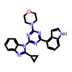 c1ccc2c(c1)nc(C1CC1)n2-c1nc(-c2cccc3[nH]ccc23)nc(N2CCOCC2)n1